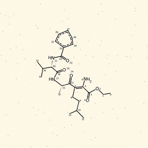 CCOC(=O)/C(N)=C(\CCC(C)C)C(=O)[C@H](C)NC(=O)[C@@H](NC(=O)c1ccccc1)C(C)C